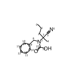 CCCC(C)(C#N)N(Cc1ccccc1)C(=O)O